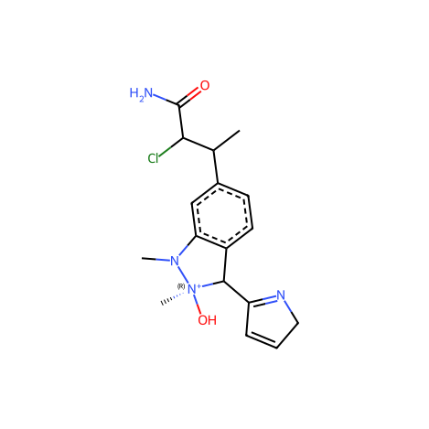 CC(c1ccc2c(c1)N(C)[N@+](C)(O)C2C1=NCC=C1)C(Cl)C(N)=O